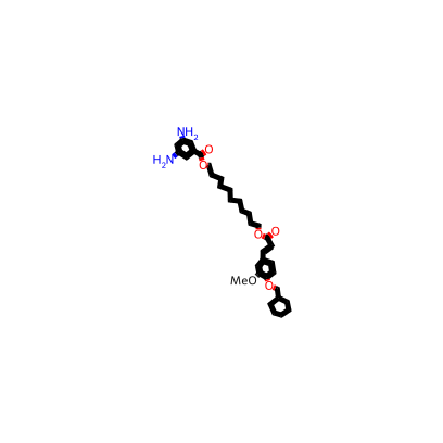 COc1cc(C=CC(=O)OCCCCCCCCCCCOC(=O)c2cc(N)cc(N)c2)ccc1OCC1CCCCC1